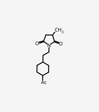 CC(=O)C1CCC(CCN2C(=O)CC(C)C2=O)CC1